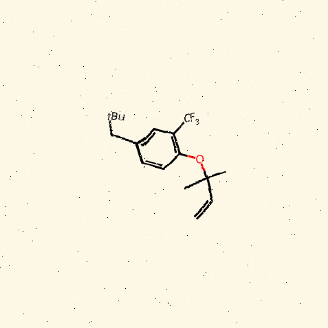 C=CC(C)(C)Oc1ccc(CC(C)(C)C)cc1C(F)(F)F